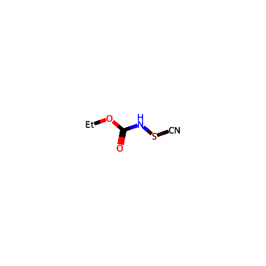 CCOC(=O)NSC#N